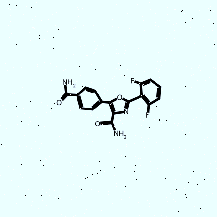 NC(=O)c1ccc(-c2oc(-c3c(F)cccc3F)nc2C(N)=O)cc1